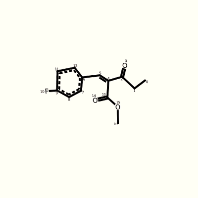 CCC(=O)C(=Cc1ccc(F)cc1)C(=O)OC